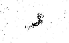 CCOC(=O)CN1CCN(c2nncc([C@H]3CC[C@H](C)CC3)n2)CC1